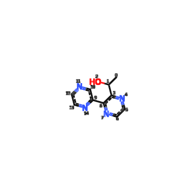 CC(O)c1nccnc1-c1cnccn1